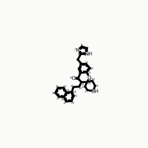 O=C1c2cc(Cc3ncc[nH]3)ccc2OC2(CCNCC2)C1CCc1cccc2ccccc12